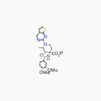 COc1ccc(CNC2(C(=O)O)CCN(c3ncc4ccsc4n3)C(C)C2Cl)cc1OC